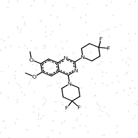 COc1cc2nc(N3CCC(F)(F)CC3)nc(N3CCC(F)(F)CC3)c2cc1OC